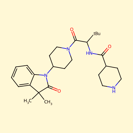 CC1(C)C(=O)N(C2CCN(C(=O)C(NC(=O)C3CCNCC3)C(C)(C)C)CC2)c2ccccc21